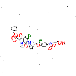 O=C(OCc1ccccc1)c1cn(C2CC2)c2c3c(c(F)cc2c1=O)N1C[C@@H](COc2ccc(N4CC(CO)OC4=O)cc2F)C[C@H]1CO3